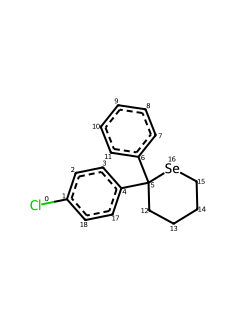 Clc1ccc(C2(c3ccccc3)CCCC[Se]2)cc1